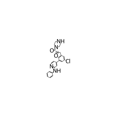 O=C([C@@H]1Cc2cc(Cl)cc(-c3ccnc(Nc4ccccc4)c3)c2O1)N1CCNCC1